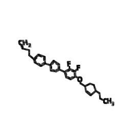 C=CCCc1ccc(-c2ccc(-c3ccc(OCC4C=CC(CCC)CC4)c(F)c3F)cc2)cc1